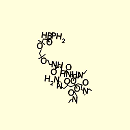 CCNCC(CNC(=O)CCC(=O)NCCOC(C)(C)CCOC(C)(C)CC(=O)BP)OC(CC(=O)CN(C)CC)(CC(=O)CN(C)CN)OC(=O)CN(C)CC